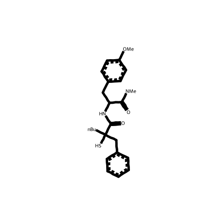 CCCCC(S)(Cc1ccccc1)C(=O)NC(Cc1ccc(OC)cc1)C(=O)NC